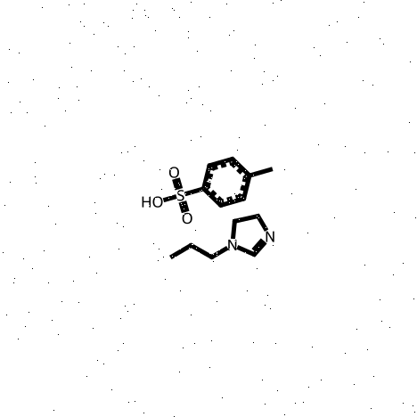 CCCN1C=NCC1.Cc1ccc(S(=O)(=O)O)cc1